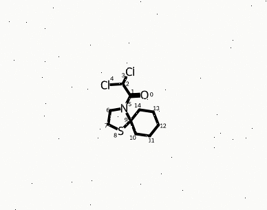 O=C(C(Cl)Cl)N1CCSC12CCCCC2